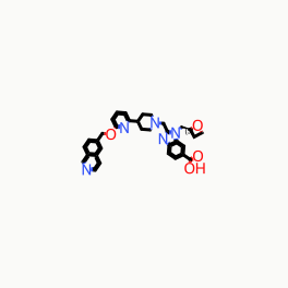 O=C(O)c1ccc2nc(CN3CCC(c4cccc(OCc5ccc6cnccc6c5)n4)CC3)n(C[C@@H]3CCO3)c2c1